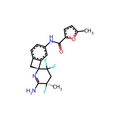 Cc1ccc(C(=O)Nc2ccc3c(c2)[C@@]2(C3)N=C(N)[C@](C)(F)CC2(F)F)o1